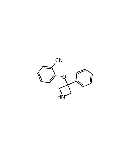 N#Cc1ccccc1OC1(c2ccccc2)CNC1